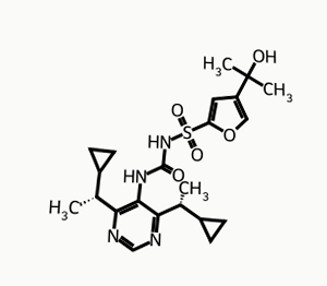 C[C@@H](c1ncnc([C@H](C)C2CC2)c1NC(=O)NS(=O)(=O)c1cc(C(C)(C)O)co1)C1CC1